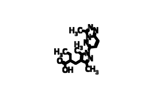 CCC(Cc1c(C)nn(-c2ccc3nnc(C)n3n2)c1C)C(=O)O